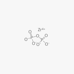 O=P([O-])([O-])OP(=O)([O-])[O-].[Zr+4]